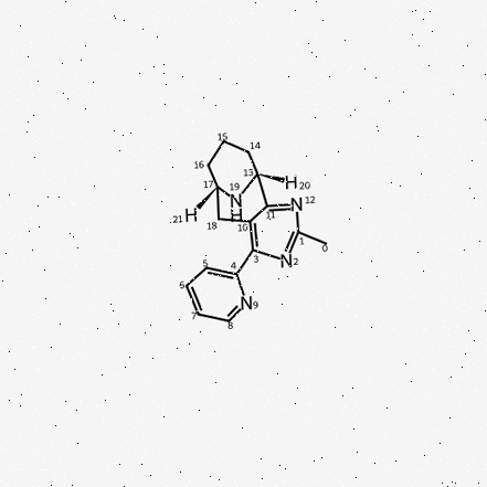 Cc1nc(-c2ccccn2)c2c(n1)[C@H]1CCC[C@@H](C2)N1